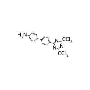 Nc1ccc(-c2ccc(-c3nc(C(Cl)(Cl)Cl)nc(C(Cl)(Cl)Cl)n3)cc2)cc1